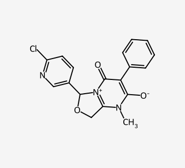 Cn1c([O-])c(-c2ccccc2)c(=O)[n+]2c1COC2c1ccc(Cl)nc1